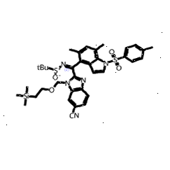 Cc1ccc(S(=O)(=O)n2ccc3c(/C(=N/[S+]([O-])C(C)(C)C)c4nc5ccc(C#N)cc5n4COCC[Si](C)(C)C)c(C)cc(C)c32)cc1